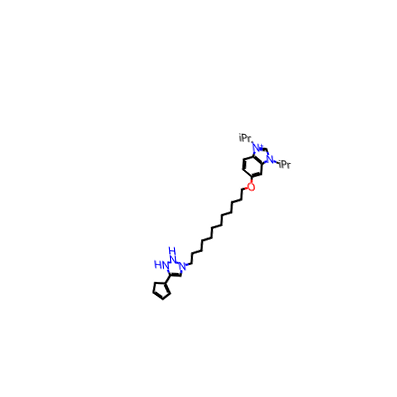 CC(C)n1c[n+](C(C)C)c2ccc(OCCCCCCCCCCCCN3C=C(C4=CC=CC4)NN3)cc21